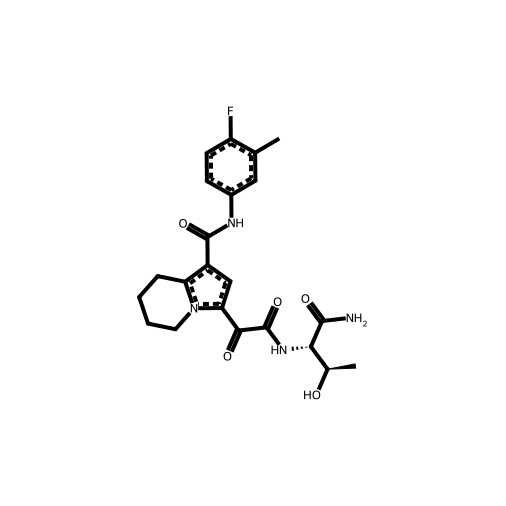 Cc1cc(NC(=O)c2cc(C(=O)C(=O)N[C@H](C(N)=O)[C@@H](C)O)n3c2CCCC3)ccc1F